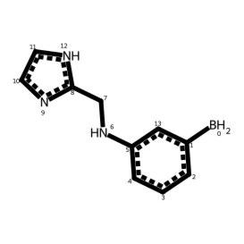 Bc1cccc(NCc2ncc[nH]2)c1